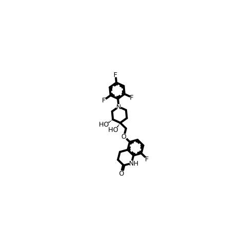 O=C1CCc2c(OC[C@]3(O)CCN(c4c(F)cc(F)cc4F)C[C@H]3O)ccc(F)c2N1